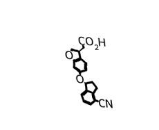 N#Cc1cccc2c1CC[C@H]2Oc1ccc2c(c1)OC[C@H]2CC(=O)O